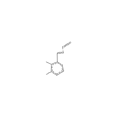 C=CC=Cc1cccc(C)c1C